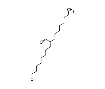 CCCCCCCCC(C=O)CCCCCCCCO